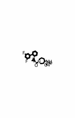 CS(=O)(=O)N[C@H]1CCCN(C(=O)[C@@H]2C[C@H]2c2ccccc2-c2cc(F)cc(F)c2)CC1